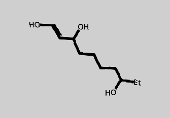 CCC(O)CCCCC(O)C=CO